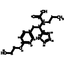 CCC[C@H](C(=O)O)C(Cc1ccc(OCCO)nc1)c1nnn[nH]1